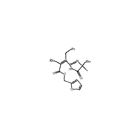 CCC(C)C(C(=O)OCc1ccco1)=C(CC(C)C)C1=NC(C)(C(C)CC)C(=O)N1